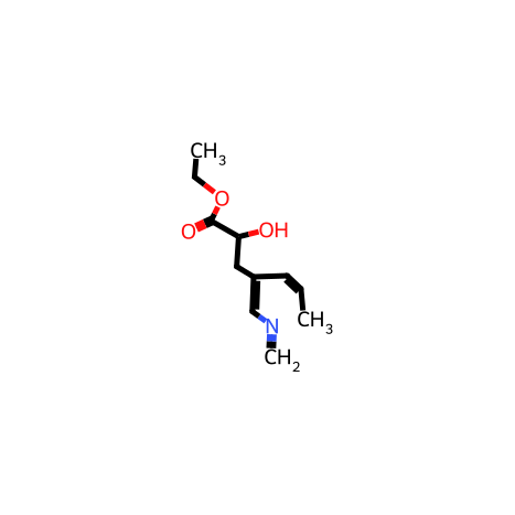 C=N/C=C(\C=C/C)CC(O)C(=O)OCC